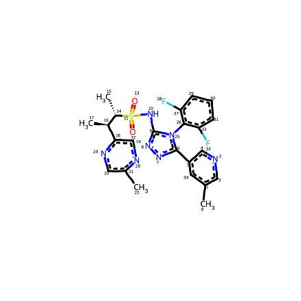 Cc1cncc(-c2nnc(NS(=O)(=O)[C@@H](C)[C@H](C)c3cnc(C)cn3)n2-c2c(F)cccc2F)c1